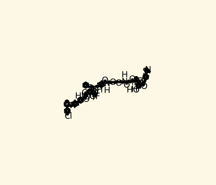 Cc1ncsc1-c1ccc(CNC(=O)[C@@H]2C[C@@H](O)CN2C(=O)[C@@H](NC(=O)CCC(=O)NCCOCCOCCNC(=O)N2CCN(CC[C@H](CSc3ccccc3)Nc3ccc(S(=O)(=O)NC(=O)c4ccc(N5CCN(CC6=C(c7ccc(Cl)cc7)CCC(C)(C)C6)CC5)cc4)cc3S(=O)(=O)C(F)(F)F)CC2)C(C)(C)C)cc1